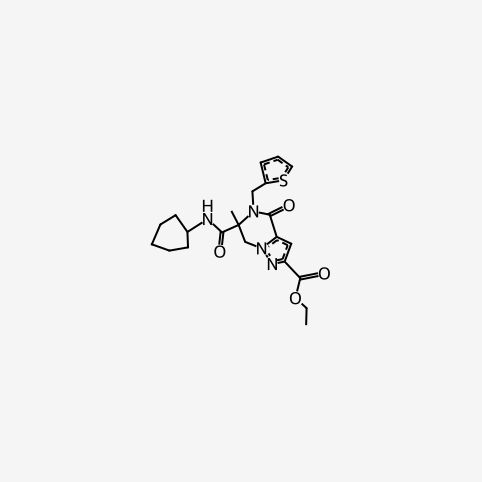 CCOC(=O)c1cc2n(n1)CC(C)(C(=O)NC1CCCCC1)N(Cc1cccs1)C2=O